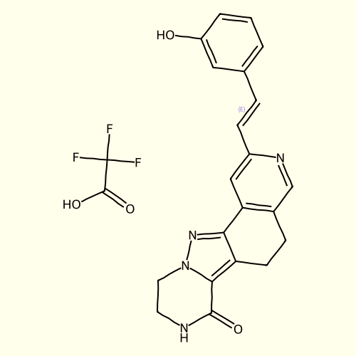 O=C(O)C(F)(F)F.O=C1NCCn2nc3c(c21)CCc1cnc(/C=C/c2cccc(O)c2)cc1-3